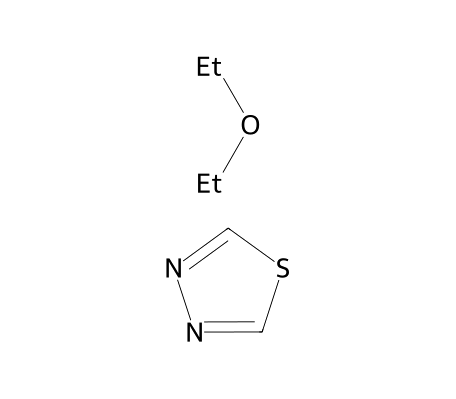 CCOCC.c1nncs1